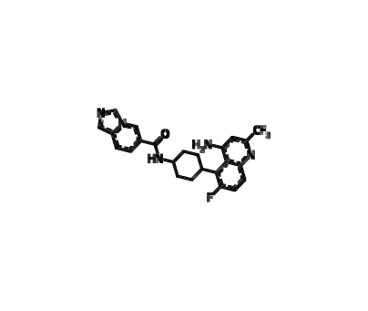 Nc1cc(C(F)(F)F)nc2ccc(F)c(C3CCC(NC(=O)c4ccc5cncn5c4)CC3)c12